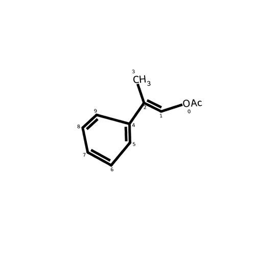 CC(=O)O/C=C(\C)c1ccccc1